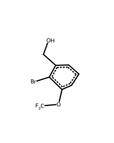 O[CH]c1cccc(OC(F)(F)F)c1Br